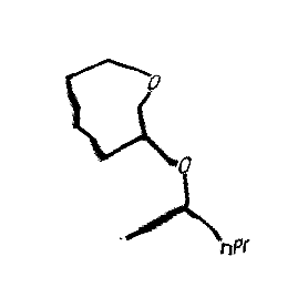 [CH2]C(CCC)OC1CCCCO1